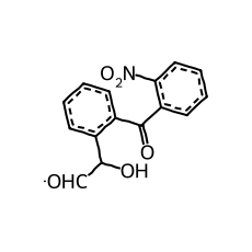 O=[C]C(O)c1ccccc1C(=O)c1ccccc1[N+](=O)[O-]